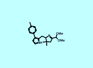 COC(OC)C1=NC(Cc2[nH]ccc2-c2ccc(C)cc2)C(C)(C)C1